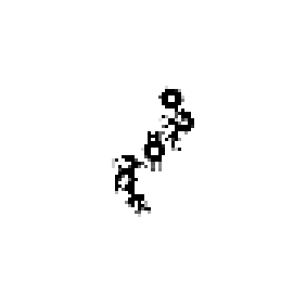 Cn1cc(-c2cc3c(Nc4ccc(NC(=O)c5cccn(-c6ccccc6)c5=O)cc4)ccnc3cn2)cn1